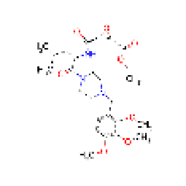 CCOC(=O)[C@H]1O[C@@H]1C(=O)N[C@@H](CC(C)C)C(=O)N1CCN(Cc2ccc(OC)c(OC)c2OC)CC1